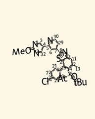 COc1ncc(-c2cc(-c3nc4cc(C)c([C@H](OC(C)(C)C)C(C)=O)c(-c5ccc(Cl)cc5)c4s3)ccn2)cn1